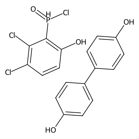 O=[PH](Cl)c1c(O)ccc(Cl)c1Cl.Oc1ccc(-c2ccc(O)cc2)cc1